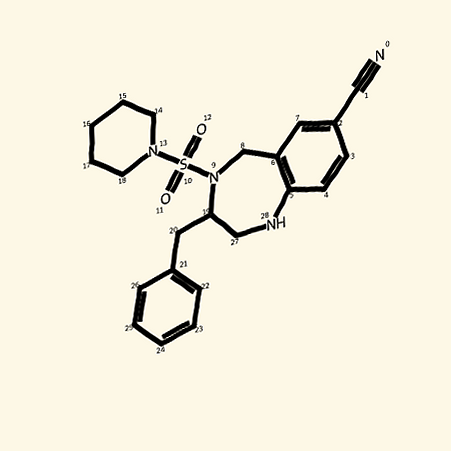 N#Cc1ccc2c(c1)CN(S(=O)(=O)N1CCCCC1)C(Cc1ccccc1)CN2